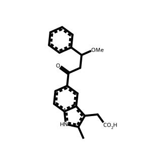 COC(CC(=O)c1ccc2[nH]c(C)c(CC(=O)O)c2c1)c1ccccc1